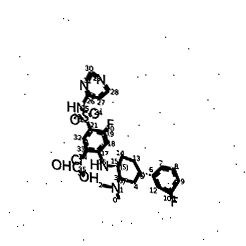 CN(C)[C@H]1C[C@@H](c2cccc(F)c2)CC[C@@H]1Nc1cc(F)c(S(=O)(=O)Nc2ccncn2)cc1Cl.O=CO